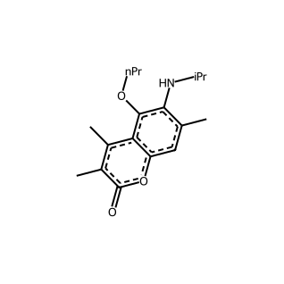 CCCOc1c(NC(C)C)c(C)cc2oc(=O)c(C)c(C)c12